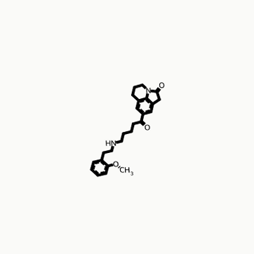 COc1ccccc1CCNCCCCC(=O)c1cc2c3c(c1)CC(=O)N3CCC2